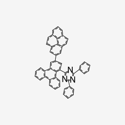 c1ccc(-c2nc(-c3ccccc3)nc(-c3cc(-c4cc5ccc6cccc7ccc(c4)c5c67)cc4c5ccccc5c5ccccc5c34)n2)cc1